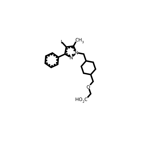 Cc1c(I)c(-c2ccccc2)nn1CC1CCC(COCC(=O)O)CC1